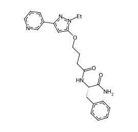 CCn1nc(-c2cccnc2)cc1OCCCC(=O)N[C@@H](Cc1ccccc1)C(N)=O